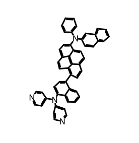 c1ccc(N(c2ccc3ccccc3c2)c2ccc3ccc4c(-c5ccc(N(c6ccncc6)c6ccncc6)c6ccccc56)ccc5ccc2c3c54)cc1